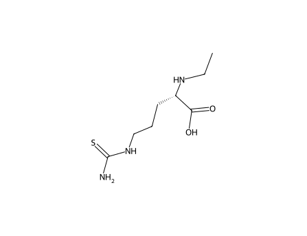 CCN[C@@H](CCCNC(N)=S)C(=O)O